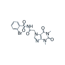 Cn1c(=O)c2c(ncn2CC(=O)NS(=O)(=O)c2ccccc2Br)n(C)c1=O